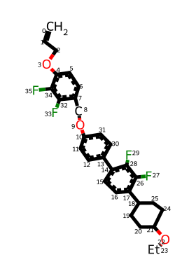 C=CCOc1ccc(COc2ccc(-c3ccc(C4CCC(OCC)CC4)c(F)c3F)cc2)c(F)c1F